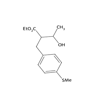 CCOC(=O)C(Cc1ccc(SC)cc1)C(C)O